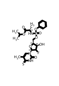 Cc1cn([C@H]2O[C@@H](COP(=O)(N[C@@H](C)C(=O)OC(C)C)Oc3ccccc3)[C@@H](O)C2F)c(=O)[nH]c1=S